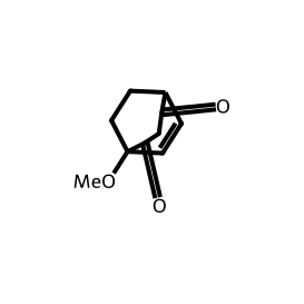 COC12C=CC(CC1)C(=O)CC2=O